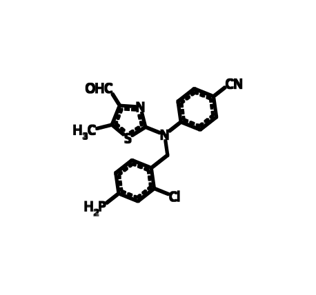 Cc1sc(N(Cc2ccc(P)cc2Cl)c2ccc(C#N)cc2)nc1C=O